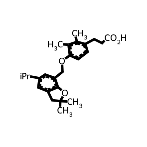 Cc1c(CCC(=O)O)ccc(OCc2cc(C(C)C)cc3c2OC(C)(C)C3)c1C